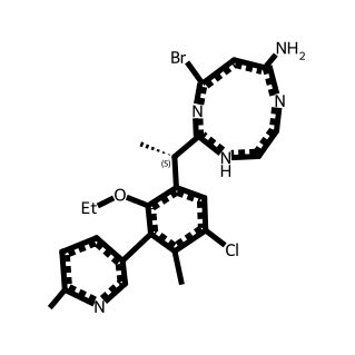 CCOc1c([C@H](C)c2nc(Br)cc(N)ncc[nH]2)cc(Cl)c(C)c1-c1ccc(C)nc1